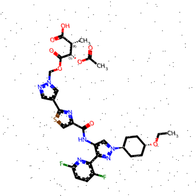 CCO[C@H]1CC[C@H](n2cc(NC(=O)c3csc(-c4cnn(COC(=O)[C@@H](OC(C)=O)[C@@H](C)C(=O)O)c4)n3)c(-c3nc(F)ccc3F)n2)CC1